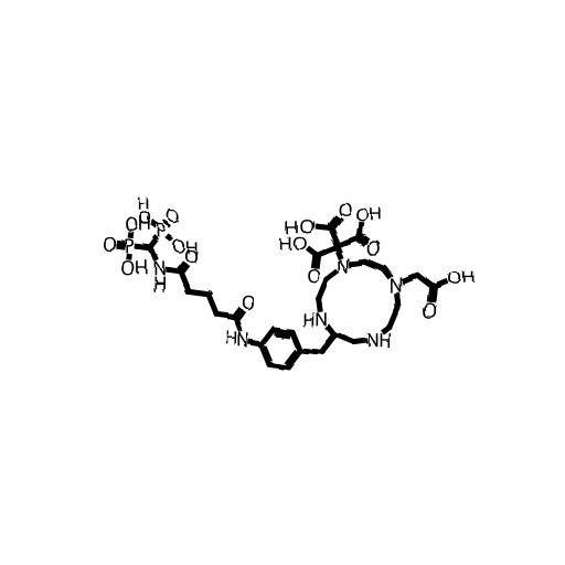 O=C(O)CN1CCNCC(Cc2ccc(NC(=O)CCCC(=O)NC(P(=O)(O)O)P(=O)(O)O)cc2)NCCN(C(C(=O)O)(C(=O)O)C(=O)O)CC1